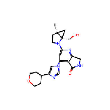 O=C1NCc2nc(N3CC[C@H]4C[C@]43CO)cc(-n3cnc(C4CCOCC4)c3)c21